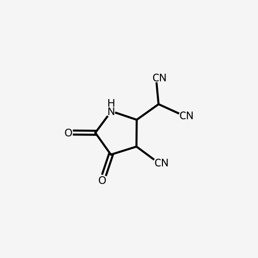 N#CC(C#N)C1NC(=O)C(=O)C1C#N